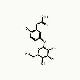 COC(=O)Cc1cc(OC2OC(CO)C(O)C(O)C2O)ccc1O